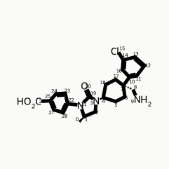 C[C@@H]1CN([C@H]2CC[C@](CN)(c3cccc(Cl)c3)CC2)C(=O)N1c1ccc(C(=O)O)cc1